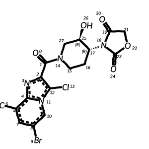 O=C(c1nc2c(C(F)(F)F)cc(Br)cn2c1Cl)N1CC[C@@H](N2C(=O)COC2=O)[C@H](O)C1